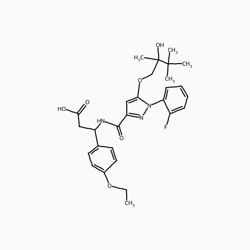 CCOc1ccc(C(CC(=O)O)NC(=O)c2cc(OCC(C)(O)C(C)(C)C)n(-c3ccccc3F)n2)cc1